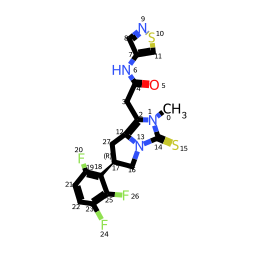 Cn1c(CC(=O)Nc2cnsc2)c2n(c1=S)C[C@@H](c1c(F)ccc(F)c1F)C2